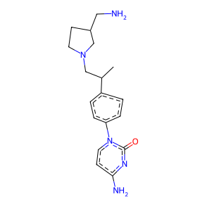 CC(CN1CCC(CN)C1)c1ccc(-n2ccc(N)nc2=O)cc1